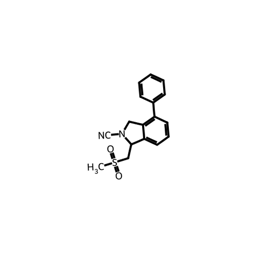 CS(=O)(=O)CC1c2cccc(-c3ccccc3)c2CN1C#N